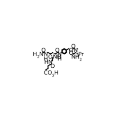 CC(C)[C@@H](C(N)=O)N(C)C(=O)OCc1ccc(NC(=O)[C@H](CCCNC(N)=O)NC(=O)CNC(=O)CCCC(=O)O)cc1